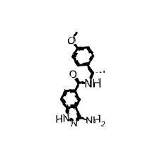 COc1ccc([C@H](C)NC(=O)c2ccc3[nH]nc(N)c3c2)cc1